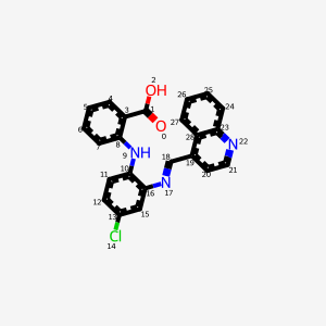 O=C(O)c1ccccc1Nc1ccc(Cl)cc1N=Cc1ccnc2ccccc12